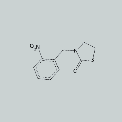 O=C1SCCN1Cc1ccccc1[N+](=O)[O-]